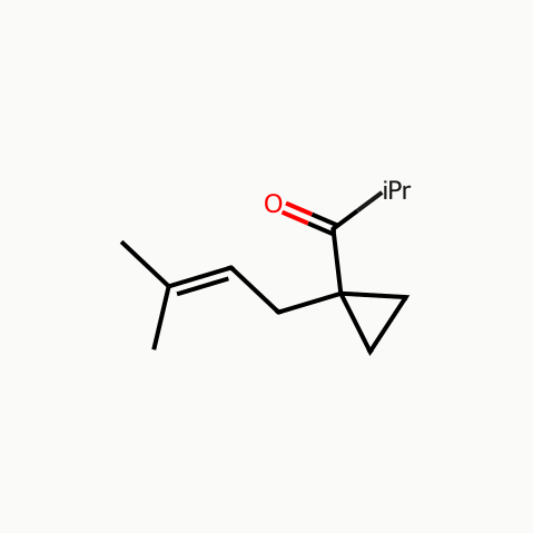 CC(C)=CCC1(C(=O)C(C)C)CC1